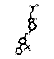 O=C(O)CCc1cc2cc(OCc3ccc(C4CCOC4)c(C(F)(F)F)c3)ccc2[nH]1